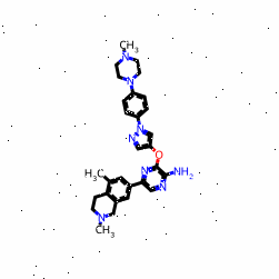 Cc1cc(-c2cnc(N)c(Oc3cnn(-c4ccc(N5CCN(C)CC5)cc4)c3)n2)cc2c1CCN(C)C2